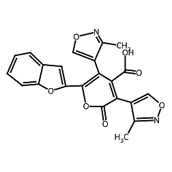 Cc1nocc1-c1c(-c2cc3ccccc3o2)oc(=O)c(-c2conc2C)c1C(=O)O